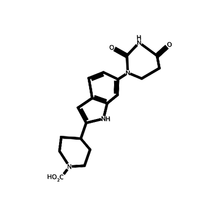 O=C1CCN(c2ccc3cc(C4CCN(C(=O)O)CC4)[nH]c3c2)C(=O)N1